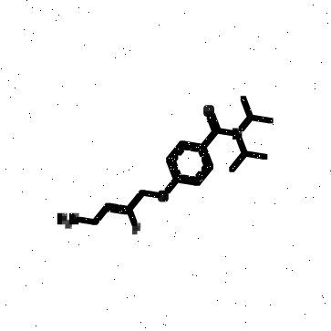 CC(C)N(C(=O)c1ccc(OC/C(F)=C/CN)cc1)C(C)C